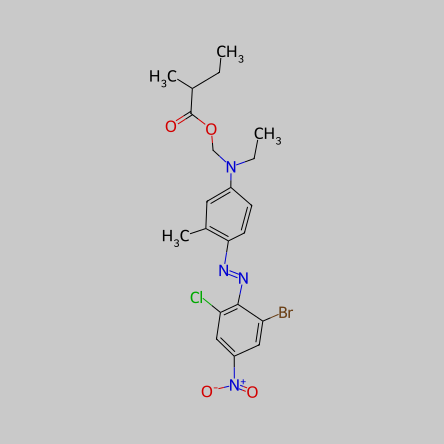 CCC(C)C(=O)OCN(CC)c1ccc(/N=N/c2c(Cl)cc([N+](=O)[O-])cc2Br)c(C)c1